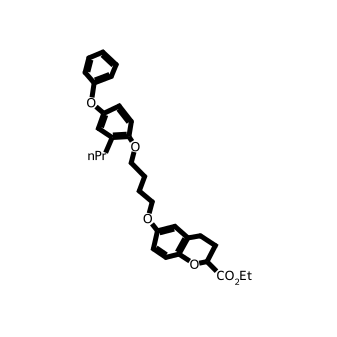 CCCc1cc(Oc2ccccc2)ccc1OCCCCOc1ccc2c(c1)CCC(C(=O)OCC)O2